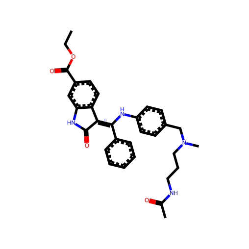 CCOC(=O)c1ccc2c(c1)NC(=O)/C2=C(/Nc1ccc(CN(C)CCCNC(C)=O)cc1)c1ccccc1